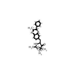 Cc1nc2ccc(CC(NC(C)C)C(=O)C(C)(C)C)cc2nc1-c1ccccc1